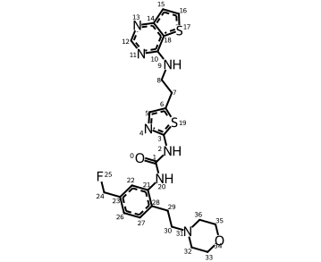 O=C(Nc1ncc(CCNc2ncnc3ccsc23)s1)Nc1cc(CF)ccc1CCN1CCOCC1